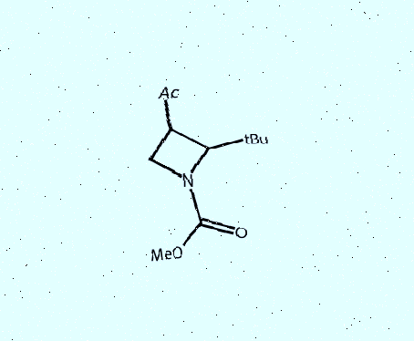 COC(=O)N1CC(C(C)=O)C1C(C)(C)C